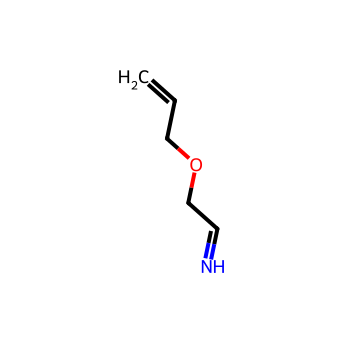 C=CCOCC=N